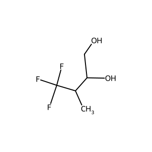 CC(C(O)CO)C(F)(F)F